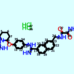 CC(=N)N1CCCCC1Oc1ccc(NC(=N)c2ccc3ccc(CNC(=O)C(N)=O)cc3c2)cc1.Cl.Cl